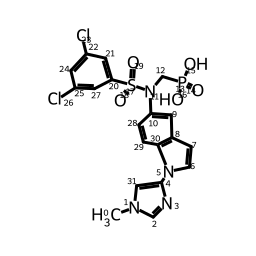 Cn1cnc(-n2ccc3cc(N(CP(=O)(O)O)S(=O)(=O)c4cc(Cl)cc(Cl)c4)ccc32)c1